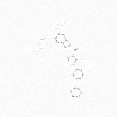 Cc1cc(Oc2c(F)cccc2F)ncc1-n1ncc(C(=O)c2cc3cc(OC4CCN(C(C)C)CC4)c(NS(C)(=O)=O)cc3[nH]2)c1N